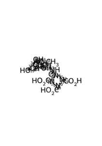 C[C@H](CCCNC(=O)CN1CCN(CC(=O)O)CCN(CC(=O)O)CCN(CC(=O)O)CC1)[C@H]1CC[C@H]2C3[C@H](O)CC4C[C@H](O)CC[C@]4(C)[C@H]3C[C@H](O)[C@]12C